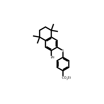 CCOC(=O)c1ccc(Sc2cc3c(cc2C(C)C)C(C)(C)CCC3(C)C)cc1